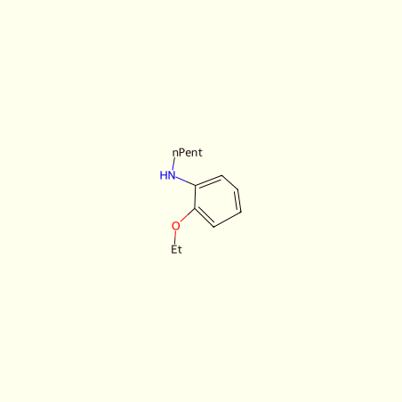 CCCCCNc1ccccc1OCC